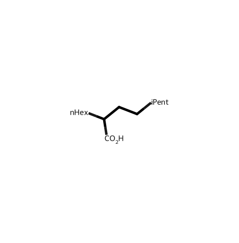 CCCCCCC(CCC(C)CCC)C(=O)O